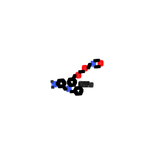 COc1cccc(CN(Cc2cccc(N(C)C)c2)c2ccc(COCCOCCN3CCOCC3)cc2)c1